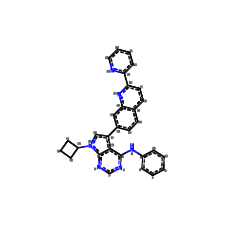 c1ccc(Nc2ncnc3c2c(-c2ccc4ccc(-c5ccccn5)nc4c2)cn3C2CCC2)cc1